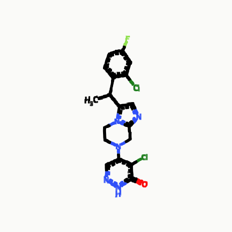 CC(c1ccc(F)cc1Cl)c1cnc2n1CCN(c1cn[nH]c(=O)c1Cl)C2